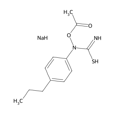 CCCc1ccc(N(OC(C)=O)C(=N)S)cc1.[NaH]